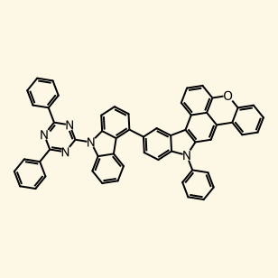 c1ccc(-c2nc(-c3ccccc3)nc(-n3c4ccccc4c4c(-c5ccc6c(c5)c5c7cccc8c7c(cc5n6-c5ccccc5)-c5ccccc5O8)cccc43)n2)cc1